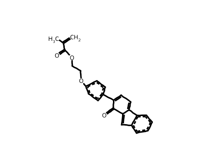 C=C(C)C(=O)OCCOc1ccc(C2=CC=C3C(=Cc4ccccc43)C2=O)cc1